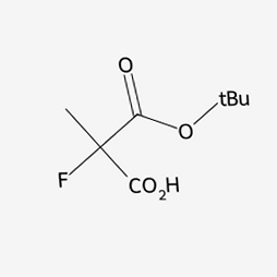 CC(C)(C)OC(=O)C(C)(F)C(=O)O